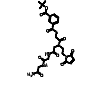 CC(C)(C)OC(=O)c1cccc(C(=O)SCC(=O)N(CCN2C(=O)C=CC2=O)CC(=O)NCC(=O)NCC(N)=O)c1